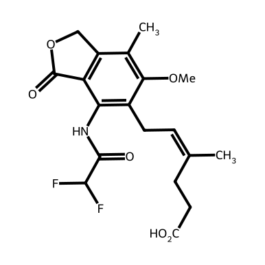 COc1c(C)c2c(c(NC(=O)C(F)F)c1CC=C(C)CCC(=O)O)C(=O)OC2